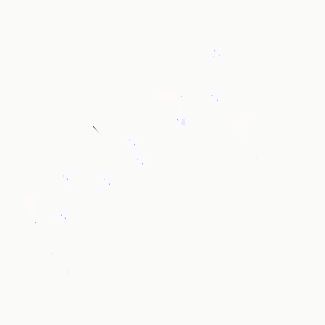 Cc1ncc(-c2c(OC(F)F)ccc(Cl)c2F)nc1C(=O)Nc1cnn([C@H](C)c2cnc(N3C[C@H]4C[C@H]4C3=O)c(C)n2)c1